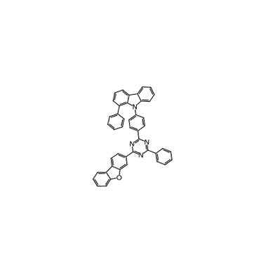 c1ccc(-c2nc(-c3ccc(-n4c5ccccc5c5cccc(-c6ccccc6)c54)cc3)nc(-c3ccc4c(c3)oc3ccccc34)n2)cc1